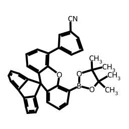 CC1(C)OB(c2cccc3c2Oc2c(-c4cccc(C#N)c4)cccc2C32c3ccccc3-c3ccccc32)OC1(C)C